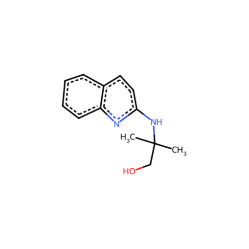 CC(C)(CO)Nc1ccc2ccccc2n1